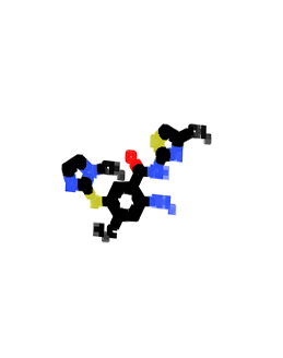 Cc1csc(NC(=O)c2cc(Sc3nccn3C)c(C)cc2N)n1